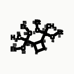 CCO[Si](C)(OCC)C1CCC1[Si](C)(OCC)OCC